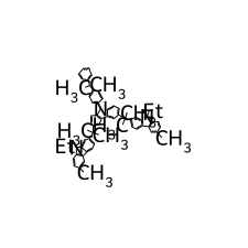 CCn1c2ccc(C)cc2c2ccc(C(C)(C)c3ccc4c(c3)c3cc(C(C)(C)c5ccc6c7cc(C)ccc7n(CC)c6c5)ccc3n4-c3ccc(C(C)(C)c4ccccc4)cc3)cc21